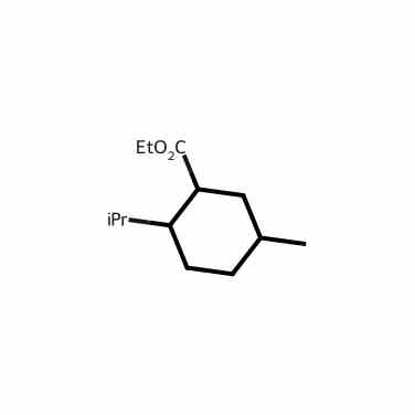 [CH2]COC(=O)C1CC(C)CCC1C(C)C